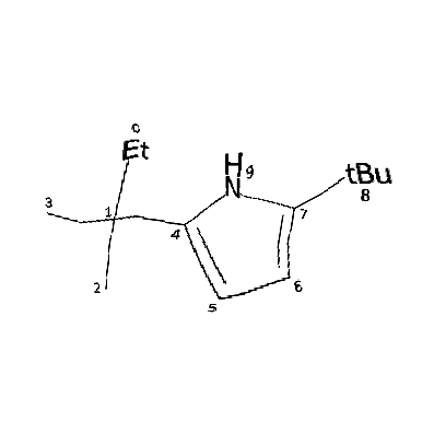 CCC(C)(C)c1ccc(C(C)(C)C)[nH]1